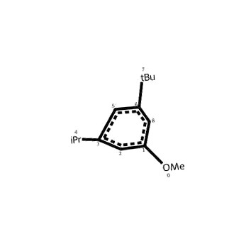 COc1cc(C(C)C)cc(C(C)(C)C)c1